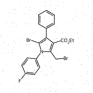 CCOC(=O)c1c(-c2ccccc2)c(Br)n(-c2ccc(F)cc2)c1CBr